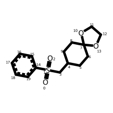 O=S(=O)(CC1CCC2(CC1)OCCO2)c1ccccc1